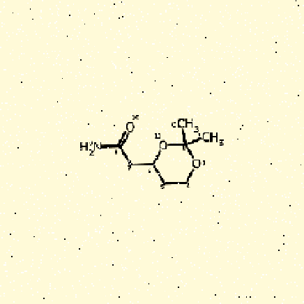 CC1(C)OCCC(CC(N)=O)O1